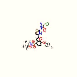 COc1ccc(S(=O)(=O)N(C)OC)c2cc(-c3csc(NC(=O)CCl)n3)oc12